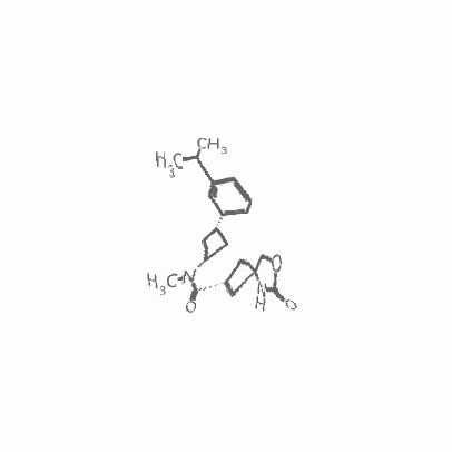 CC(C)c1cccc([C@H]2C[C@@H](N(C)C(=O)[C@H]3C[C@]4(COC(=O)N4)C3)C2)c1